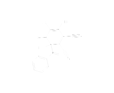 N#CC1=C(C#N)C(O)(C(=O)c2ccccc2)C(Cl)C(Cl)=C1O